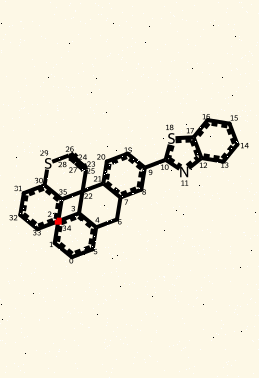 c1ccc2c(c1)Cc1cc(-c3nc4ccccc4s3)ccc1C21c2ccccc2Sc2ccccc21